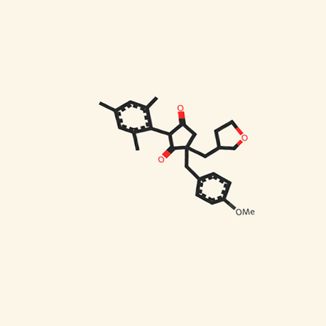 COc1ccc(CC2(CC3CCOC3)CC(=O)C(c3c(C)cc(C)cc3C)C2=O)cc1